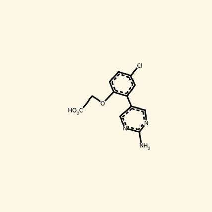 Nc1ncc(-c2cc(Cl)ccc2OCC(=O)O)cn1